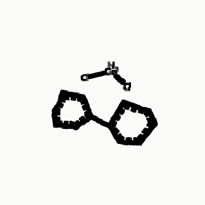 [Cl][GeH2][Cl].c1ccc(-c2ccccc2)cc1